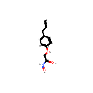 C=CCc1ccc(OCC(=O)N=O)cc1